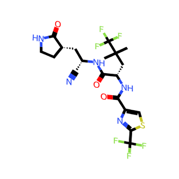 CC(C)(C[C@H](NC(=O)c1csc(C(F)(F)F)n1)C(=O)N[C@H](C#N)C[C@@H]1CCNC1=O)C(F)(F)F